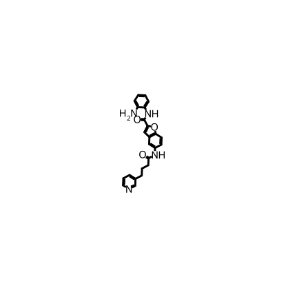 Nc1ccccc1NC(=O)c1cc2cc(NC(=O)CCCc3cccnc3)ccc2o1